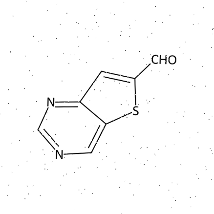 O=Cc1cc2ncncc2s1